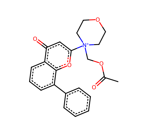 CC(=O)OC[N+]1(c2cc(=O)c3cccc(-c4ccccc4)c3o2)CCOCC1